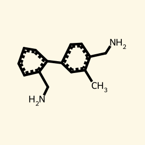 Cc1cc(-c2ccccc2CN)ccc1CN